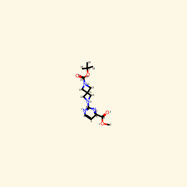 COC(=O)c1ccnc(N2CC3(CN(C(=O)OC(C)(C)C)C3)C2)n1